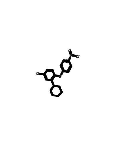 O=[N+]([O-])c1ccc(Oc2ccc(Cl)cc2C2CCCCC2)cc1